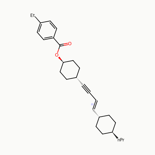 CCC[C@H]1CC[C@H](/C=C/C#C[C@H]2CC[C@H](OC(=O)c3ccc(CC)cc3)CC2)CC1